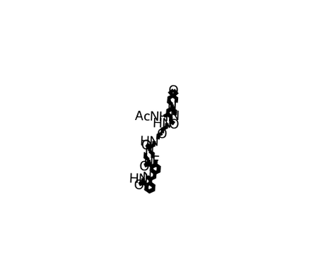 CC(=O)Nc1cc(N2CCC3(CC2)COC3)cnc1C(=O)NCCOCCNCC(=O)N1CCN(C(=O)c2cc(Cc3n[nH]c(=O)c4ccccc34)ccc2F)CC1